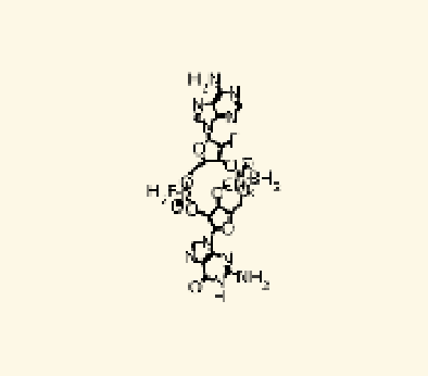 B[P@]1(=O)OCC2OC(n3cnc4c(=O)[nH]c(N)nc43)C(O[P@@](B)(=O)OCC3OC(n4cnc5c(N)ncnc54)C(F)C3O1)C2OC